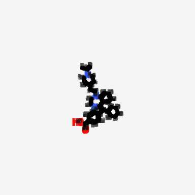 CC(C)N1CCC(CCN2CCn3c(c(C4CCCCC4)c4ccc(C(=O)O)cc43)-c3ccccc32)CC1